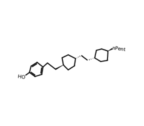 CCCCC[C@H]1CC[C@H](CC[C@H]2CC[C@H](CCc3ccc(O)cc3)CC2)CC1